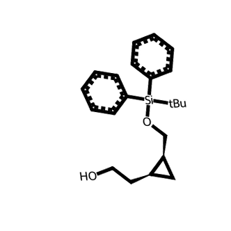 CC(C)(C)[Si](OC[C@H]1C[C@H]1CCO)(c1ccccc1)c1ccccc1